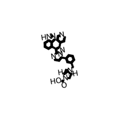 O=C(O)N1C[C@@H]2C[C@H]1CN2Cc1cccc(-c2ccnc3c(-c4cccc5[nH]ncc45)c(-c4ccncc4)nn23)c1